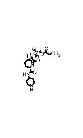 CCC(=O)OOS(=O)(=O)ON1C(=O)N2C[C@H]1CC[C@H]2C(=O)NC1CCNCC1